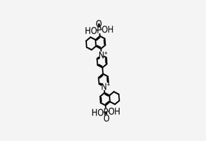 O=P(O)(O)c1ccc(-[n+]2ccc(-c3cc[n+](-c4ccc(P(=O)(O)O)c5c4CCCC5)cc3)cc2)c2c1CCCC2